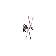 CCCCCCCCCCCCCCCCC1(CCCCCCCCCCCCCCCC)c2cc3c(cc2-c2sc(C)cc21)C(CCCCCCCCCCCCCCCC)(CCCCCCCCCCCCCCCC)c1cc(C2=c4cc5c(cc4C(=O)S2)=C(C)SC5=O)sc1-3